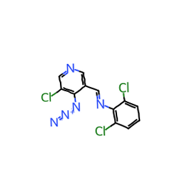 [N-]=[N+]=Nc1c(Cl)cncc1/C=N/c1c(Cl)cccc1Cl